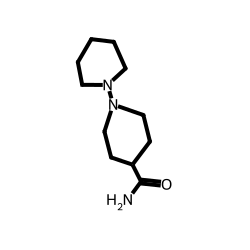 NC(=O)C1CCN(N2CCCCC2)CC1